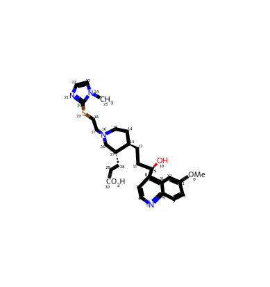 COc1ccc2nccc([C@H](O)CC[C@@H]3CCN(CCSc4nccn4C)C[C@H]3CCC(=O)O)c2c1